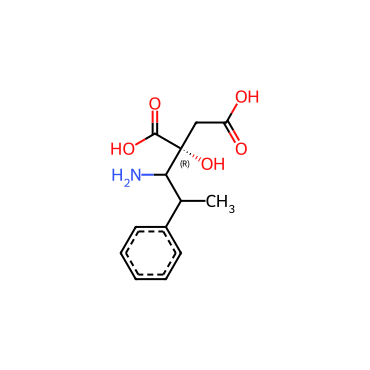 CC(c1ccccc1)C(N)[C@](O)(CC(=O)O)C(=O)O